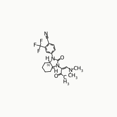 CC(=O)C(=CN(C)C)N1C(=O)N(c2ccc(C#N)c(C(F)(F)F)c2)[C@H]2CCCC[C@@H]21